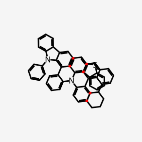 c1ccc(-n2c3ccccc3c3cccc(-c4ccccc4N(c4ccccc4-c4cccc5cccc(C6CCCCC6)c45)c4cccc5sc6ccccc6c45)c32)cc1